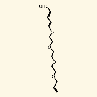 C=CCOCCOCCOCCO/C=C/C=C/C=O